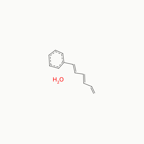 C=CC=CC=Cc1ccccc1.O